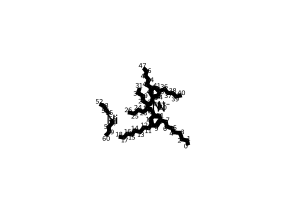 CCCCCCCCc1cc(CCCCCCCC)cc(C2=C(CCCC)C(CCCC)=C(c3cc(CCCCC)cc(CCCCC)c3)[N+]2=[N-])c1.CCC[CH2][Ni][CH2]CCC